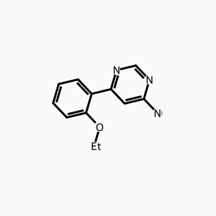 CCOc1ccccc1-c1cc([N])ncn1